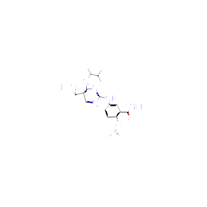 CC(C)C(C)Nc1nc(Nc2ccc(OS(C)(=O)=O)c(C(N)=O)c2)ncc1C(N)=O